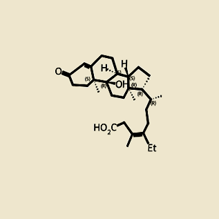 CCC(CC[C@@H](C)[C@H]1CC[C@H]2[C@@H]3CCC4=CC(=O)CC[C@]4(C)[C@@]3(O)CC[C@]12C)=C(C)CC(=O)O